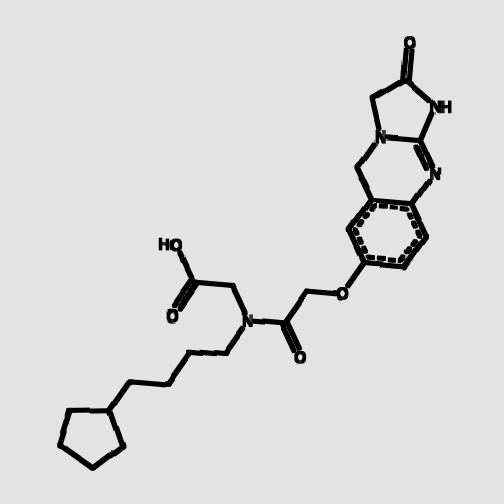 O=C(O)CN(CCCCC1CCCC1)C(=O)COc1ccc2c(c1)CN1CC(=O)NC1=N2